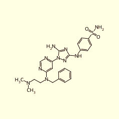 CN(C)CCN(Cc1ccccc1)c1cc(-n2nc(Nc3ccc(S(N)(=O)=O)cc3)nc2N)ncn1